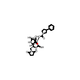 N=C1N[C@H]2[C@H](CN3C(=O)CCC3=O)NC(=N)N3C[C@H](OC(=O)N4CCC(c5ccccc5)C4)C(O)(O)[C@]23N1